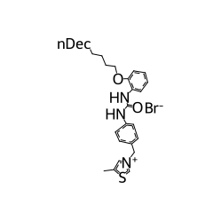 CCCCCCCCCCCCCCOc1ccccc1NC(=O)Nc1ccc(C[n+]2csc(C)c2)cc1.[Br-]